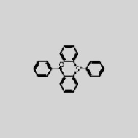 O=C(c1ccccc1)c1ccccc1[S+](c1ccccc1)c1ccccc1